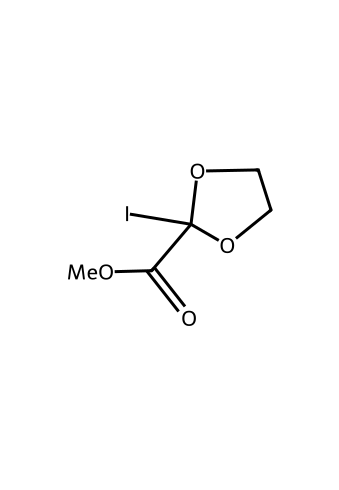 COC(=O)C1(I)OCCO1